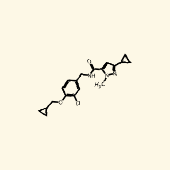 Cn1nc(C2CC2)cc1C(=O)NCc1ccc(OCC2CC2)c(Cl)c1